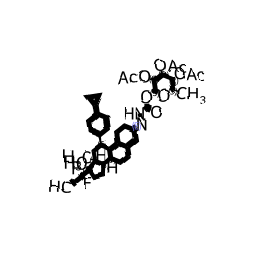 C#CC(F)(F)[C@]1(O)CC[C@H]2[C@@H]3CCC4=C/C(=N/NC(=O)O[C@@H]5O[C@@H](C)[C@@H](OC(C)=O)[C@@H](OC(C)=O)[C@@H]5OC(C)=O)CCC4=C3[C@H](c3ccc(C4CC4)cc3)C[C@@]21C